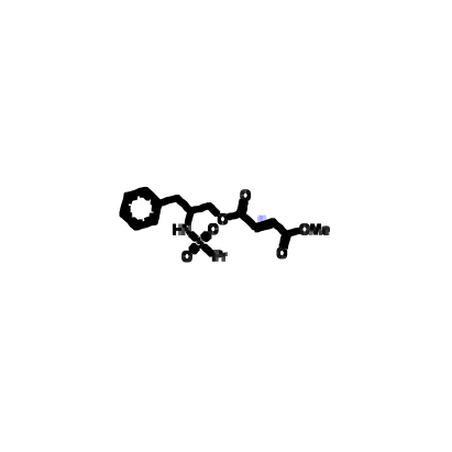 COC(=O)/C=C/C(=O)OCC(Cc1ccccc1)NS(=O)(=O)C(C)C